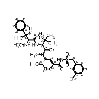 CN[C@H](C(=O)N[C@H](C(=O)N(C)[C@H](C=C(C)C(=O)NS(=O)(=O)Cc1cccc(Cl)c1)C(C)C)C(C)(C)C)C(C)(C)c1ccccc1